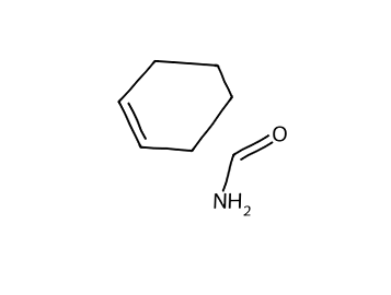 C1=CCCCC1.NC=O